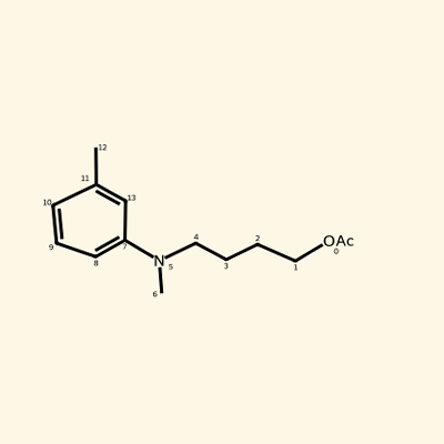 CC(=O)OCCCCN(C)c1cccc(C)c1